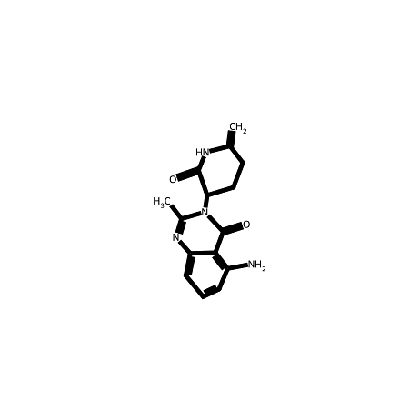 C=C1CCC(n2c(C)nc3cccc(N)c3c2=O)C(=O)N1